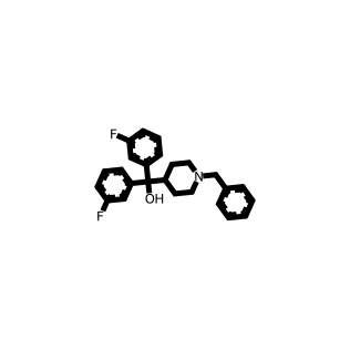 OC(c1cccc(F)c1)(c1cccc(F)c1)C1CCN(Cc2ccccc2)CC1